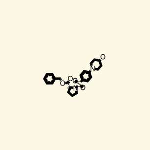 O=C1CCN(c2ccc(S(=O)(=O)N3CCC[C@@H]3C(=O)OCc3ccccc3)cc2)CC1